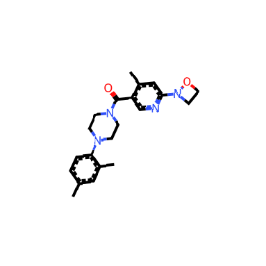 Cc1ccc(N2CCN(C(=O)c3cnc(N4CCO4)cc3C)CC2)c(C)c1